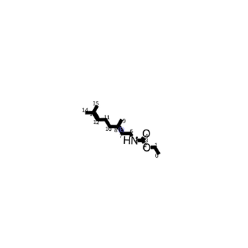 CCOC(=O)NC/C=C(\C)CCC=C(C)C